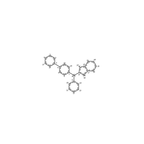 c1ccc(-c2ccc(N(c3ccccc3)c3nc4ccccc4s3)cc2)cc1